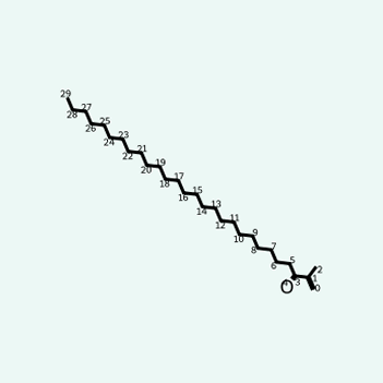 C=C(C)C(=O)CCCCCCCCCCCCCCCCCCCCCCCCC